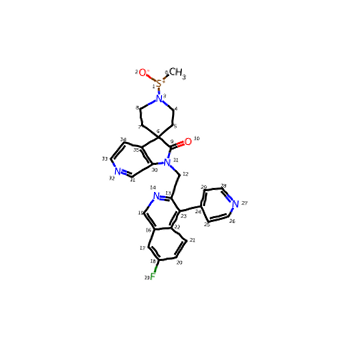 C[S+]([O-])N1CCC2(CC1)C(=O)N(Cc1ncc3cc(F)ccc3c1-c1ccncc1)c1cnccc12